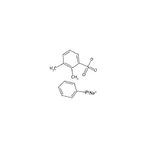 CC(C)c1ccccc1.Cc1cccc(S(=O)(=O)[O-])c1C.[Na+]